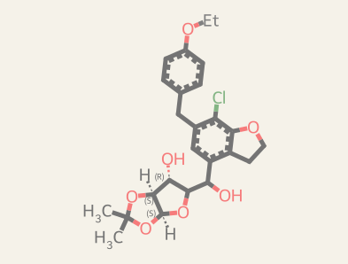 CCOc1ccc(Cc2cc(C(O)C3O[C@H]4OC(C)(C)O[C@H]4[C@@H]3O)c3c(c2Cl)OCC3)cc1